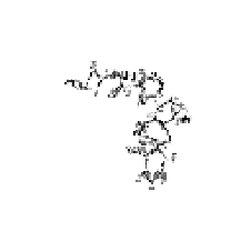 CC1(C)[C@H]2CC[C@]1(c1cncc(C(=O)NC3CC(O)C3)n1)c1nnc(-c3c(F)cccc3F)cc12